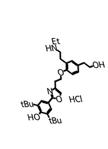 CCNCCc1cc(CCO)ccc1OCCc1coc(-c2cc(C(C)(C)C)c(O)c(C(C)(C)C)c2)n1.Cl